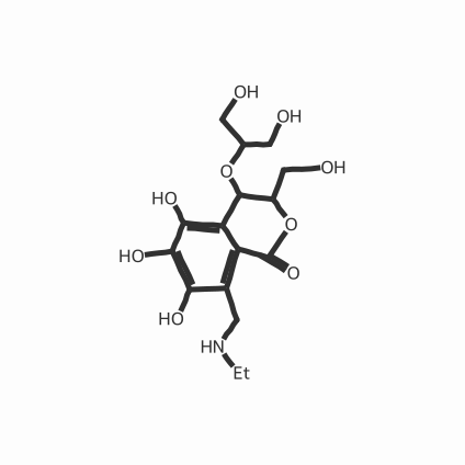 CCNCc1c(O)c(O)c(O)c2c1C(=O)OC(CO)C2OC(CO)CO